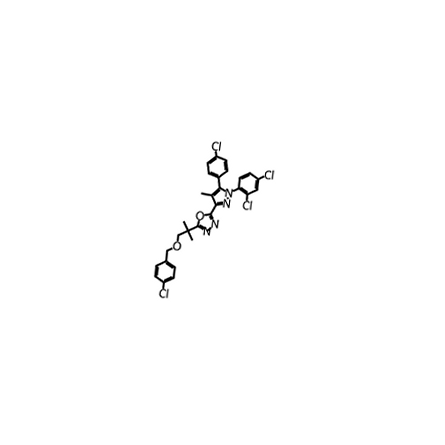 Cc1c(-c2nnc(C(C)(C)COCc3ccc(Cl)cc3)o2)nn(-c2ccc(Cl)cc2Cl)c1-c1ccc(Cl)cc1